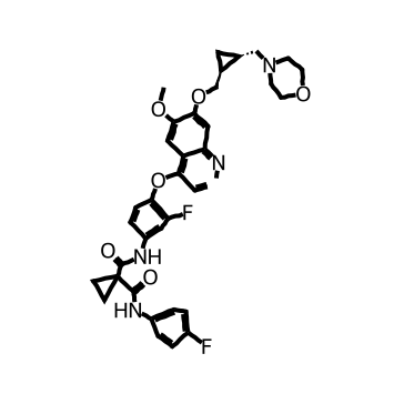 C=C/C(Oc1ccc(NC(=O)C2(C(=O)Nc3ccc(F)cc3)CC2)cc1F)=C1/C=C(OC)C(OC[C@H]2C[C@@H]2CN2CCOCC2)=C/C1=N/C